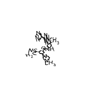 C=C(C#N)c1cc(C(=O)Nc2ccc(C)c(-n3cc(-c4cncnc4)nn3)c2)cc(N2CCCN(C)CC2)c1